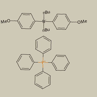 CCCC[B-](CCCC)(c1ccc(OC)cc1)c1ccc(OC)cc1.c1ccc([P+](c2ccccc2)(c2ccccc2)c2ccccc2)cc1